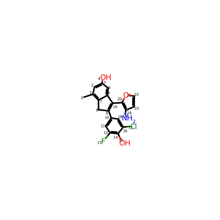 Cc1cc(O)cc2c1CC(c1cc(F)c(O)c(Cl)c1)=C2c1occc1N